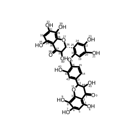 O=C1c2c(O)cc(O)c(O)c2OC(c2ccc(Oc3cc(O)c(O)cc3[C@H]3Oc4c(O)c(O)cc(O)c4C(=O)C3O)c(O)c2)C1O